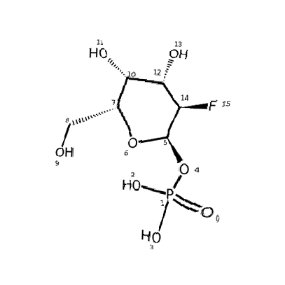 O=P(O)(O)O[C@H]1O[C@H](CO)[C@H](O)[C@H](O)[C@H]1F